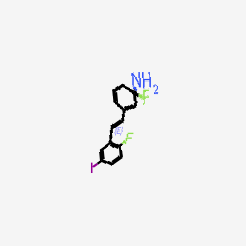 NC1(F)C=C(/C=C/c2cc(I)ccc2F)C=CC1